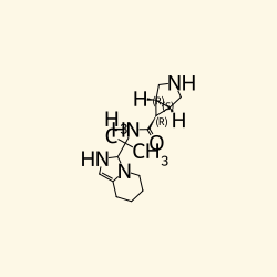 CC(C)(NC(=O)[C@H]1[C@@H]2CNC[C@@H]21)C1NC=C2CCCCN21